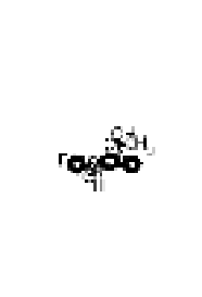 CC(C(=O)O)n1c2c(c3ccccc31)C[C@H](NS(=O)(=O)c1ccc(F)cc1)CC2